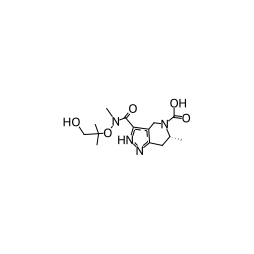 C[C@@H]1Cc2n[nH]c(C(=O)N(C)OC(C)(C)CO)c2CN1C(=O)O